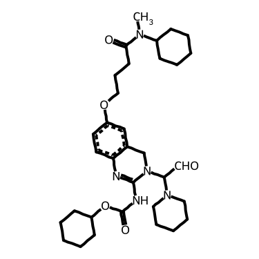 CN(C(=O)CCCOc1ccc2c(c1)CN(C(C=O)N1CCCCC1)C(NC(=O)OC1CCCCC1)=N2)C1CCCCC1